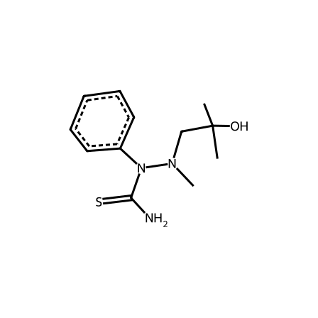 CN(CC(C)(C)O)N(C(N)=S)c1ccccc1